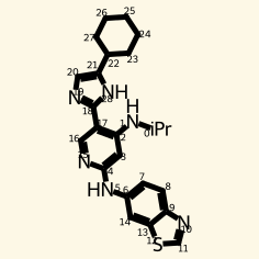 CC(C)Nc1cc(Nc2ccc3ncsc3c2)ncc1-c1ncc(C2CCCCC2)[nH]1